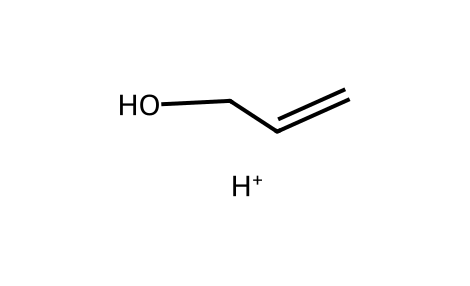 C=CCO.[H+]